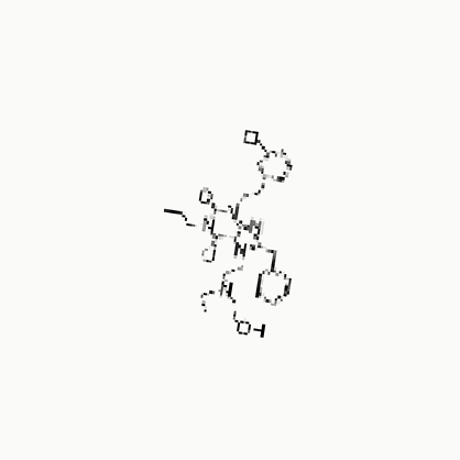 CCCn1c(=O)c2c(nc(Cc3ccccc3)n2CCN(CC)CCO)n(CCc2cccc(Cl)c2)c1=O